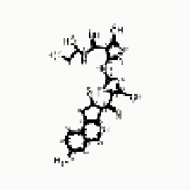 CCC(O)NC(=N)c1c(O)nsc1Nc1nc(O)c(C(=O)C2c3ncc4cc(C)ccc4c3CC2O)s1